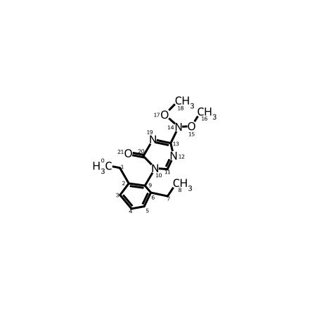 CCc1cccc(CC)c1-n1cnc(N(OC)OC)nc1=O